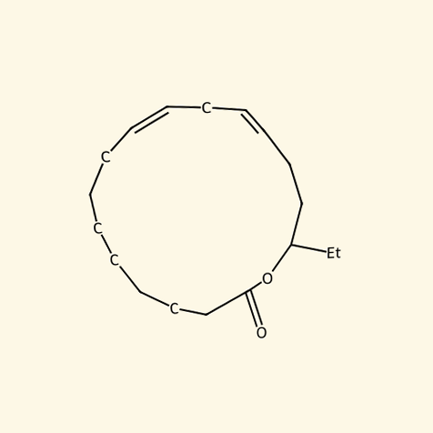 CCC1CCC=CCC=CCCCCCCCC(=O)O1